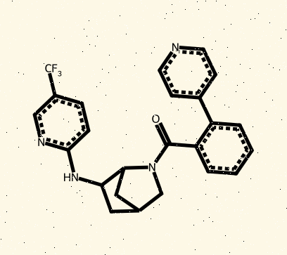 O=C(c1ccccc1-c1ccncc1)N1CC2CC(Nc3ccc(C(F)(F)F)cn3)C1C2